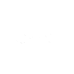 CC#CCn1c(N2CCC[C@@H](N)C2)nc2c(C)c(=O)n(Cc3nc(C)c4cc(F)ccc4n3)c(=O)n21